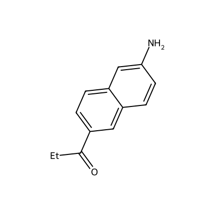 CCC(=O)c1ccc2cc(N)ccc2c1